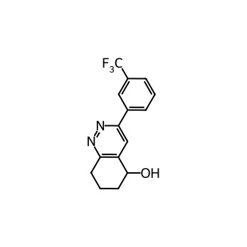 OC1CCCc2nnc(-c3cccc(C(F)(F)F)c3)cc21